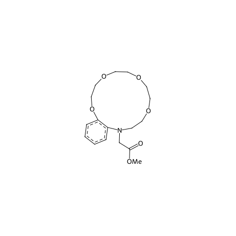 COC(=O)CN1CCOCCOCCOCCOc2ccccc21